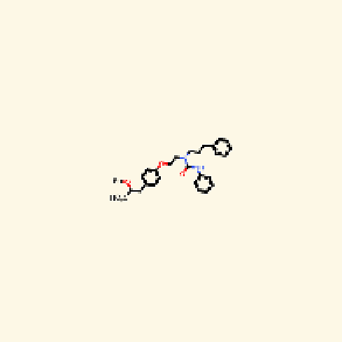 CCOC(Cc1ccc(OCCN(CCCc2ccccc2)C(=O)Nc2ccccc2)cc1)C(=O)O